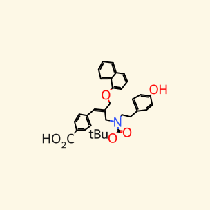 CC(C)(C)OC(=O)N(CCc1ccc(O)cc1)CC(=Cc1ccc(C(=O)O)cc1)COc1cccc2ccccc12